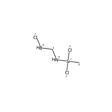 C[Si](Cl)(Cl)NCBCl